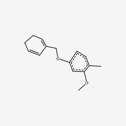 COc1cc(OCC2=CCCC=C2)ccc1C